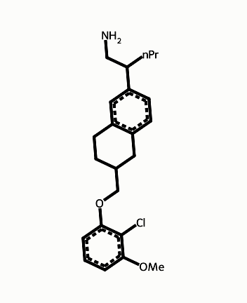 CCCC(CN)c1ccc2c(c1)CCC(COc1cccc(OC)c1Cl)C2